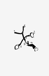 [C-]#[N+]C(Cl)(Cl)C(C)C